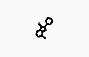 O=c1c2cccc(Cl)c2sn1-c1ccccc1